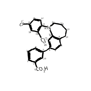 O=C(O)c1cccc(-c2ccc3c(c2)N(c2ccc(Cl)cc2Cl)CCCC3)c1